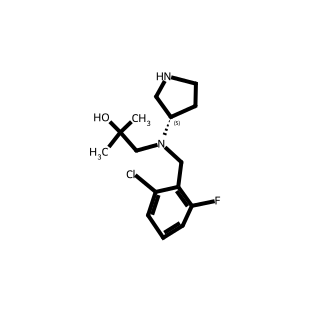 CC(C)(O)CN(Cc1c(F)cccc1Cl)[C@H]1CCNC1